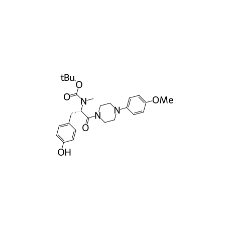 COc1ccc(N2CCN(C(=O)[C@H](Cc3ccc(O)cc3)N(C)C(=O)OC(C)(C)C)CC2)cc1